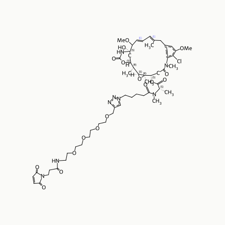 COc1cc2cc(c1Cl)N(C)C(=O)C[C@H](OC(=O)[C@H](C)N(C)C(=O)CCCCn1cc(COCCOCCOCCOCCNC(=O)CCN3C(=O)C=CC3=O)nn1)[C@@]1(C)O[C@H]1[C@H](C)[C@@H]1C[C@@](O)(NC(=O)O1)C(OC)/C=C/C=C(\C)C2